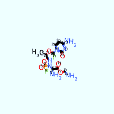 C[C@@H](COP(=O)(F)N[C@@H](N)C(=O)OCN)O[C@H](F)n1ccc(N)nc1=O